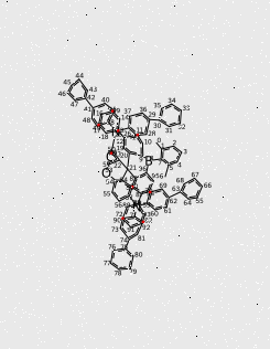 Cc1cccc(C)c1B1c2ccc(-c3ccccc3)cc2C2(c3cc(N(c4ccc(-c5ccccc5)cc4)c4ccc(-c5ccccc5)cc4)ccc3Oc3ccc(N(c4ccc(-c5ccccc5)cc4)c4ccc(-c5ccccc5)cc4)cc32)c2cc(-c3ccccc3)ccc21